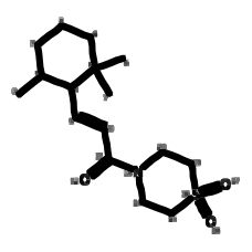 CC1CCCC(C)(C)C1C=CC(=O)N1CCS(=O)(=O)CC1